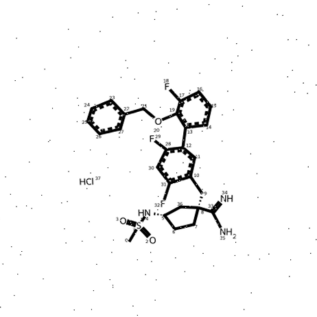 CS(=O)(=O)N[C@H]1CC[C@](Cc2cc(-c3cccc(F)c3OCc3ccccc3)c(F)cc2F)(C(=N)N)C1.Cl